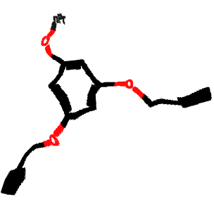 C#CCOc1cc(OCC#C)cc(OCCC)c1